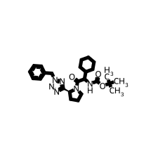 CC(C)(C)OC(=O)NC(C(=O)N1CCC[C@H]1c1nnn(Cc2ccccc2)n1)C1CCCCC1